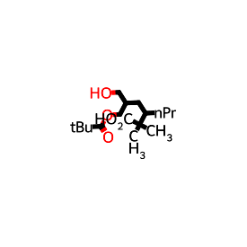 CCCC(CC(CO)COC(=O)C(C)(C)C)C(C)(C)C(=O)O